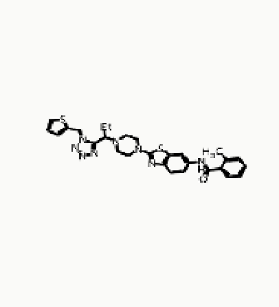 CCC(c1nnnn1Cc1cccs1)N1CCN(c2nc3ccc(NC(=O)c4ccccc4C)cc3s2)CC1